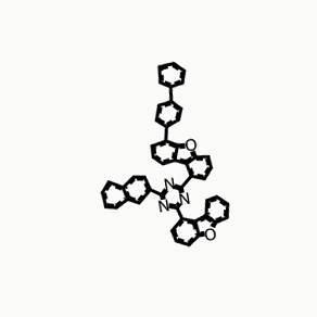 c1ccc(-c2ccc(-c3cccc4c3oc3cccc(-c5nc(-c6ccc7ccccc7c6)nc(-c6cccc7oc8ccccc8c67)n5)c34)cc2)cc1